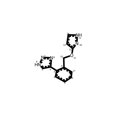 c1ccc(-c2c[nH]nn2)c(COc2cc[nH]n2)c1